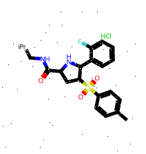 Cc1ccc(S(=O)(=O)C2CC(C(=O)NCC(C)C)NC2c2ccccc2F)cc1.Cl